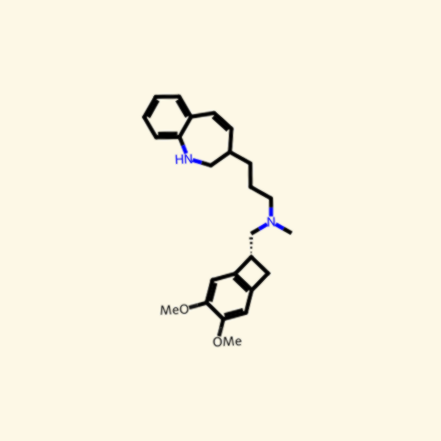 COc1cc2c(cc1OC)[C@H](CN(C)CCCC1C=Cc3ccccc3NC1)C2